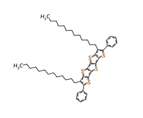 CCCCCCCCCCCCCc1c(-c2ccccc2)sc2c1sc1c2sc2c3sc(-c4ccccc4)c(CCCCCCCCCCCCC)c3sc21